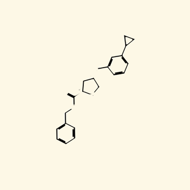 O=C(OCc1ccccc1)[C@H]1C[C@H](Cc2cccc(C3CC3)c2)CN1